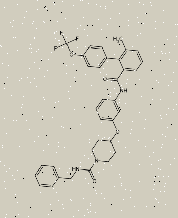 Cc1cccc(C(=O)Nc2cccc(OC3CCN(C(=O)NCc4ccccc4)CC3)c2)c1-c1ccc(OC(F)(F)F)cc1